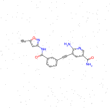 CC(C)(C)c1cc(NC(=O)c2cccc(C#Cc3cc(C(N)=O)cnc3N)c2)no1